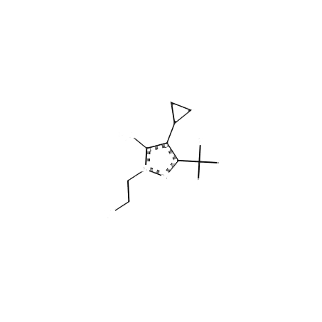 CCCn1nc(C(F)(F)F)c(C2CC2)c1C